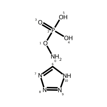 NOP(=O)(O)O.c1nnn[nH]1